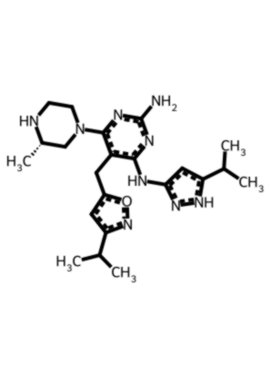 CC(C)c1cc(Cc2c(Nc3cc(C(C)C)[nH]n3)nc(N)nc2N2CCN[C@@H](C)C2)on1